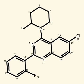 CC1CCCCN1c1nc(-c2ccccc2F)nc2ccc(Cl)cc12